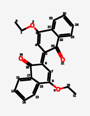 CCOC1=C/C(=C2/C=C(OCC)c3ccccc3C2=O)C(=O)c2ccccc21